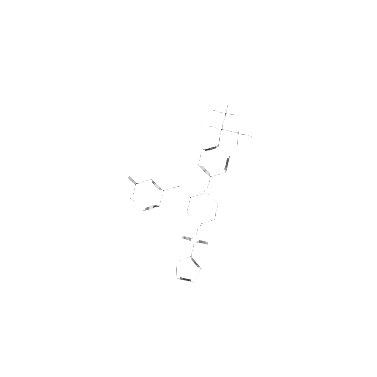 O=c1cc(CC2CN(S(=O)(=O)c3cccs3)CCN2c2ccc(C(O)(C(F)(F)F)C(F)(F)F)cc2)cc[nH]1